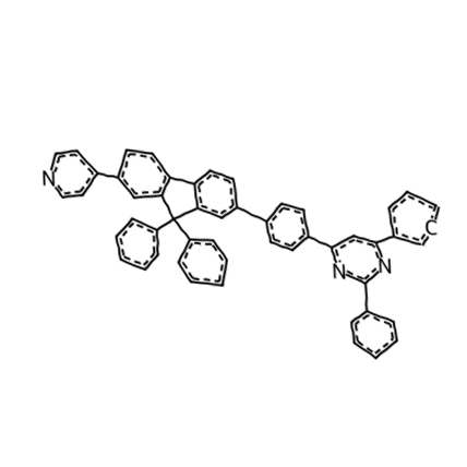 c1ccc(-c2cc(-c3ccc(-c4ccc5c(c4)C(c4ccccc4)(c4ccccc4)c4cc(-c6ccncc6)ccc4-5)cc3)nc(-c3ccccc3)n2)cc1